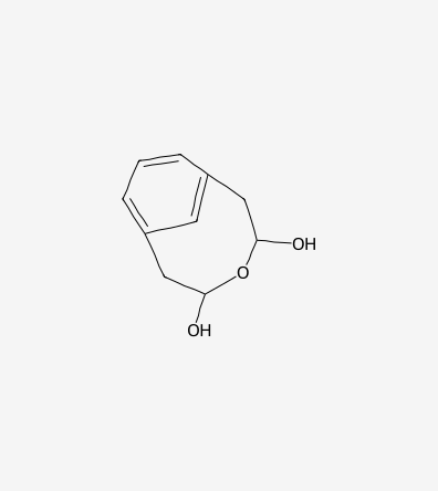 OC1Cc2cccc(c2)CC(O)O1